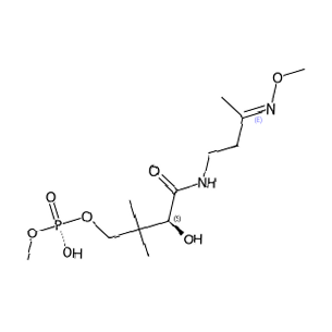 CO/N=C(\C)CCNC(=O)[C@@H](O)C(C)(C)COP(=O)(O)OC